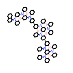 c1ccc(N2c3ccccc3B3c4ccccc4N4c5ccccc5B5c6ccc(-c7ccc8c(c7)B7c9ccccc9N9c%10ccccc%10B%10c%11ccccc%11N%11c%12cc(-c%13ccc(N%14c%15ccccc%15B%15c%16ccccc%16N%16c%17cccc%18c%17B(c%17ccccc%17N%18c%17cccc%18ccccc%17%18)c%17ccc%14c%15c%17%16)cc%13)ccc%12B%12c%13ccccc%13N8c8c7c9c%10c%11c8%12)cc6N(c6ccccc6)c6cc2c3c4c65)cc1